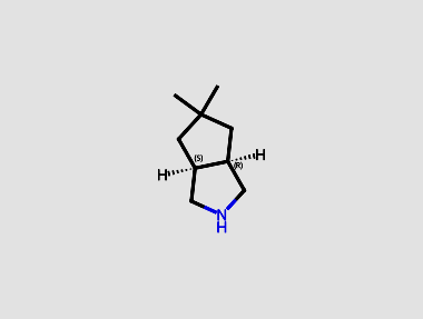 CC1(C)C[C@H]2CNC[C@H]2C1